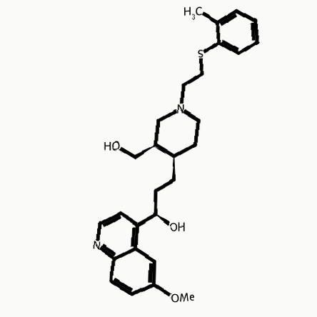 COc1ccc2nccc([C@H](O)CC[C@@H]3CCN(CCSc4ccccc4C)C[C@@H]3CO)c2c1